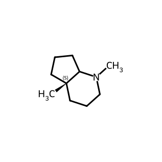 CN1CCC[C@]2(C)CCCC12